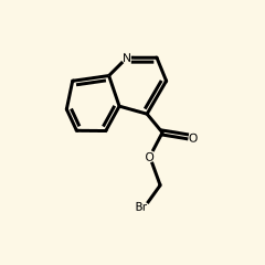 O=C(OCBr)c1ccnc2ccccc12